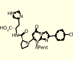 CCCCCn1c(N2CCC[C@H]2C(=O)N[C@@H](Cc2c[nH]cn2)C(=O)O)cc(=O)n2cc(-c3ccc(Cl)cc3)nc12